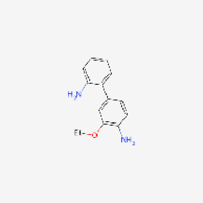 CCOc1cc(-c2ccccc2N)ccc1N